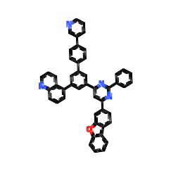 c1ccc(-c2nc(-c3cc(-c4ccc(-c5cccnc5)cc4)cc(-c4cccc5ncccc45)c3)cc(-c3ccc4c(c3)oc3ccccc34)n2)cc1